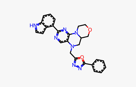 c1ccc(-c2nnc(CN3CC4COCCN4c4nc(-c5cccc6[nH]ccc56)ncc43)o2)cc1